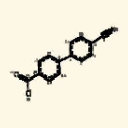 N#Cc1ccc(-c2ccc(C(=O)Cl)cc2)cc1